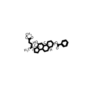 COC(=O)CCC(C)[C@H]1CCC2C3CC[C@@H]4C[C@H](OC(=O)c5ccccc5)CC[C@]4(C)C3C[C@H](O)[C@@]21C